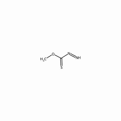 COC(=S)N=N